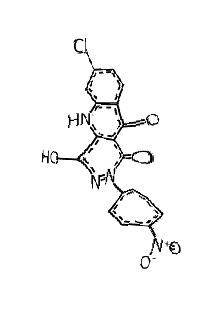 O=c1c2ccc(Cl)cc2[nH]c2c(O)nn(-c3ccc([N+](=O)[O-])cc3)c(=O)c12